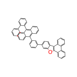 c1ccc(-c2ccccc2-c2c3ccccc3c(-c3cccc(-c4ccc5c(c4)oc4c6ccccc6c6ccccc6c54)c3)c3ccccc23)cc1